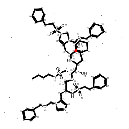 CCCCNS(=O)(=O)C[C@@H](OC(=O)[C@H](Cc1cncn1COCc1ccccc1)NS(=O)(=O)CCc1ccccc1)[C@@H](O)C(CC1CCCCC1)N[C@@H](CC1=CN(S(=O)(=O)CCc2ccccc2)CN1COCc1ccccc1)C(N)=O